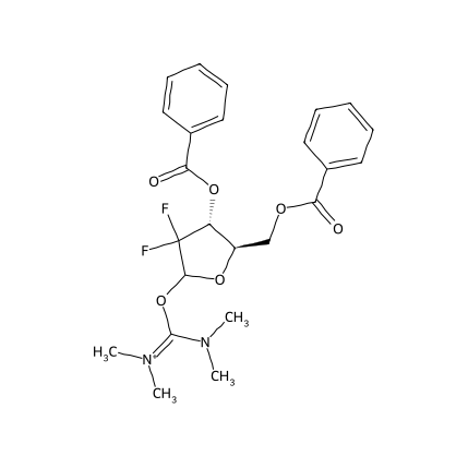 CN(C)C(OC1O[C@H](COC(=O)c2ccccc2)[C@@H](OC(=O)c2ccccc2)C1(F)F)=[N+](C)C